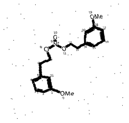 COc1cccc(CCO[N+](=O)OCCc2cccc(OC)c2)c1